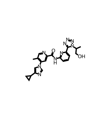 Cc1cnc(C(=O)Nc2cccc(-c3nnnn3C(C)CO)n2)cc1-n1cnc(C2CC2)c1